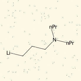 [Li][CH2]CCN(CCC)CCC